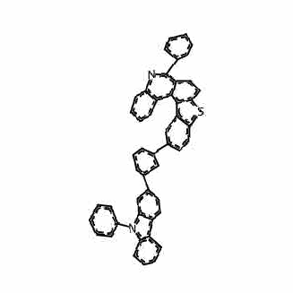 c1ccc(-c2nc3ccccc3c3c2ccc2sc4ccc(-c5cccc(-c6ccc7c8ccccc8n(-c8ccccc8)c7c6)c5)cc4c23)cc1